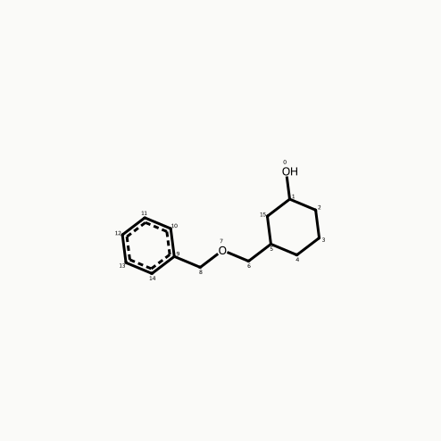 OC1CCCC(COCc2ccccc2)C1